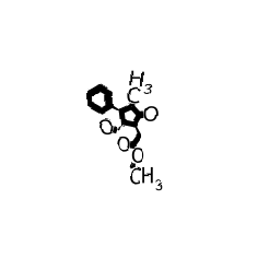 CCOC(=O)C[C@@H]1C(=O)C(C)[C@H](c2ccccc2)[C@H]1C=O